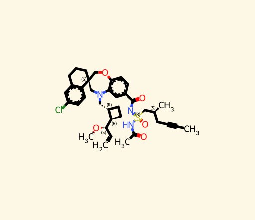 C=C[C@H](OC)[C@@H]1CC[C@H]1CN1C[C@@]2(CCCc3cc(Cl)ccc32)COc2ccc(C(=O)N=[S@@](=O)(C[C@@H](C)CC#CC)NC(C)=O)cc21